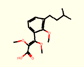 COC(C(=O)O)=C(OC)c1cccc(CCC(C)C)c1OC